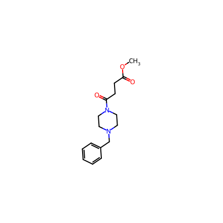 COC(=O)CCC(=O)N1CCN(Cc2ccccc2)CC1